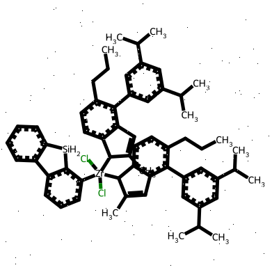 CCCc1ccc2c(c1-c1cc(C(C)C)cc(C(C)C)c1)C=C(C)[CH]2[Zr]([Cl])([Cl])([c]1cccc2c1[SiH2]c1ccccc1-2)[CH]1C(C)=Cc2c1ccc(CCC)c2-c1cc(C(C)C)cc(C(C)C)c1